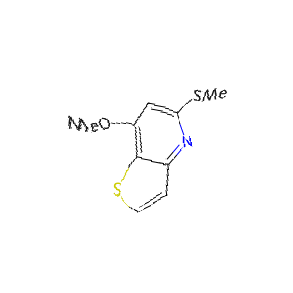 COc1cc(SC)nc2ccsc12